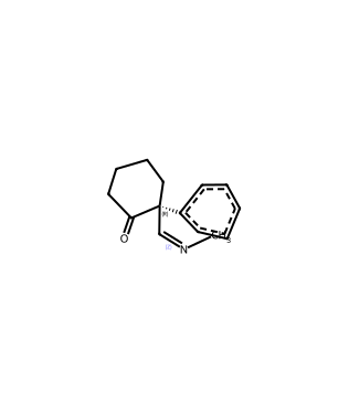 C/N=C\[C@]1(c2ccccc2)CCCCC1=O